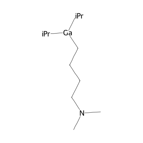 C[CH](C)[Ga]([CH2]CCCN(C)C)[CH](C)C